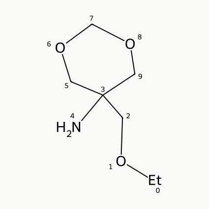 CCOCC1(N)COCOC1